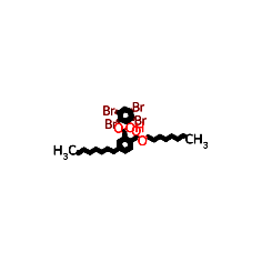 Brc1cc(Br)c(Br)cc1Br.CCCCCCCCOC(=O)c1ccc(CCCCCCCC)cc1C(=O)O